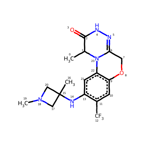 CC1C(=O)NN=C2COc3cc(C(F)(F)F)c(NC4(C)CN(C)C4)cc3N21